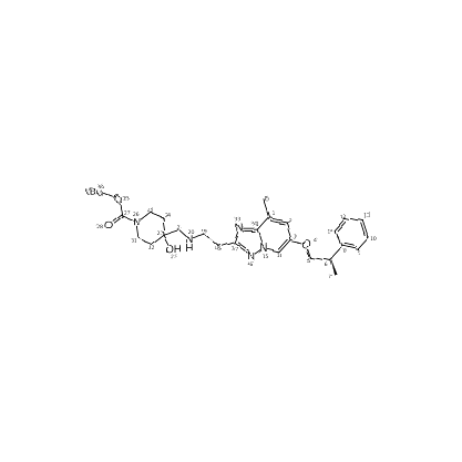 Cc1cc(OC[C@H](C)c2ccccc2)cn2nc(CCNCC3(O)CCN(C(=O)OC(C)(C)C)CC3)nc12